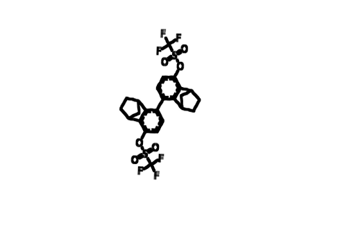 O=S(=O)(Oc1ccc(-c2ccc(OS(=O)(=O)C(F)(F)F)c3c2C2CCC3C2)c2c1C1CCC2C1)C(F)(F)F